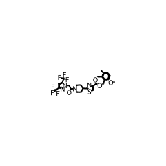 COc1ccc(C)c2c1COC(c1csc(C3CCN(C(=O)Cn4nc(C(F)(F)F)cc4C(F)(F)F)CC3)n1)OC2